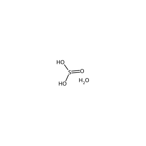 O.O=S(O)O